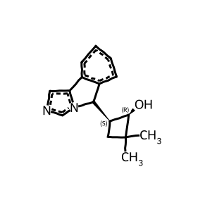 CC1(C)C[C@@H](C2c3ccccc3-c3cncn32)[C@H]1O